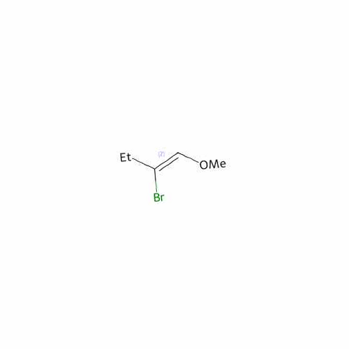 CC/C(Br)=C/OC